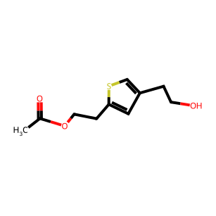 CC(=O)OCCc1cc(CCO)cs1